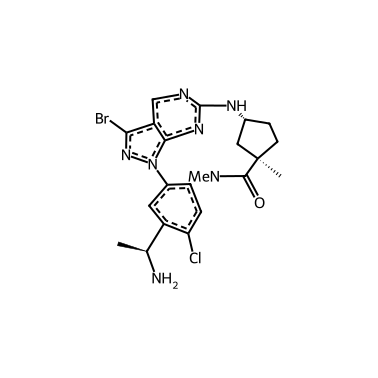 CNC(=O)[C@]1(C)CC[C@@H](Nc2ncc3c(Br)nn(-c4ccc(Cl)c([C@H](C)N)c4)c3n2)C1